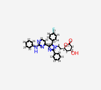 O=C1C[C@H](O)C[C@@H](CCn2c(-c3ccccc3)nc(-c3ccnc(Nc4ccccc4)n3)c2-c2ccc(F)cc2)O1